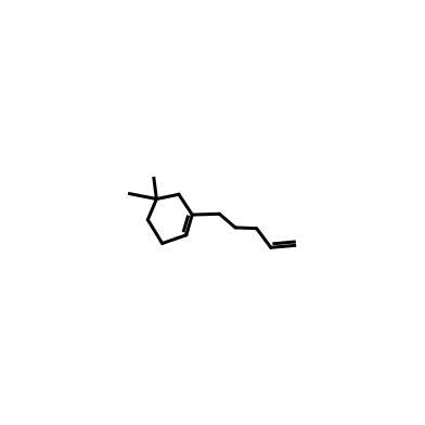 C=CCCCC1=CCCC(C)(C)C1